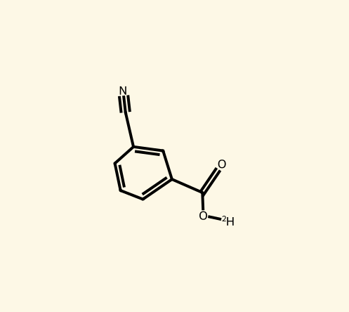 [2H]OC(=O)c1cccc(C#N)c1